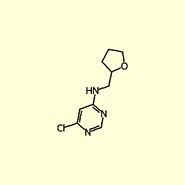 Clc1cc(NCC2CCCO2)ncn1